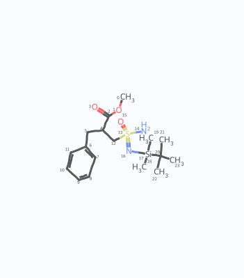 COC(=O)C(Cc1ccccc1)CS(N)(=O)=N[Si](C)(C)C(C)(C)C